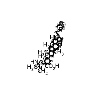 C=NN(C)C(=N)OCC1(C(=O)O)CC=C(C2=CCC3(C)C(CCC4(C)C5CCC6(NCCN7CCS(=O)(=O)CC7)CCC[C@@H]6C5CCC43)C2(C)C)CC1